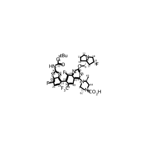 C[C@@H]1CN(c2nc(OC[C@]34CCCN3C[C@H](F)C4)nc3c(F)c(-c4ccc(F)c5sc(NC(=O)OC(C)(C)C)nc45)c(C(F)(F)F)cc23)[C@@H](C)CN1C(=O)O